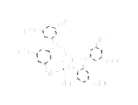 CCCc1cc(CCC)cc(P(CC2OC(C)(C)OC2CP(c2cc(CCC)cc(CCC)c2)c2cc(CCC)cc(CCC)c2)c2cc(CCC)cc(CCC)c2)c1